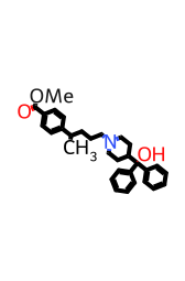 COC(=O)c1ccc(C(C)CCCN2CCC(C(O)(c3ccccc3)c3ccccc3)CC2)cc1